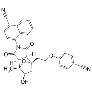 C[C@@]12O[C@@](CCOc3ccc(C#N)cc3)(C[C@H]1O)[C@@H]1C(=O)N(c3ccc(C#N)c4ccccc34)C(=O)[C@@H]12